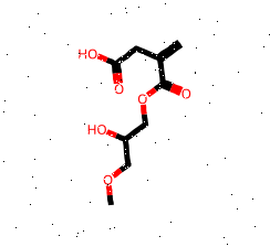 C=C(CC(=O)O)C(=O)OCC(O)COC